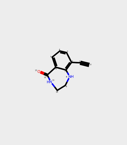 C#Cc1cccc2c1NCCNC2=O